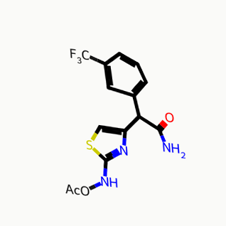 CC(=O)ONc1nc(C(C(N)=O)c2cccc(C(F)(F)F)c2)cs1